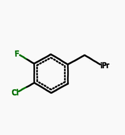 CC(C)Cc1ccc(Cl)c(F)c1